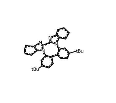 CC(C)(C)c1ccc2c3ccc(C(C)(C)C)cc3n3c4ccccc4nc3c3nc4ccccc4n3c2c1